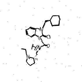 CCN1CCC[C@H]1CNC(=O)n1c(=O)n(CC2CCCCC2)c2ccccc21